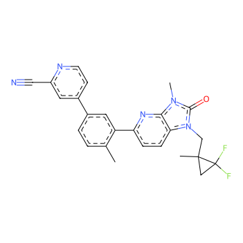 Cc1ccc(-c2ccnc(C#N)c2)cc1-c1ccc2c(n1)n(C)c(=O)n2CC1(C)CC1(F)F